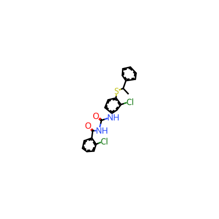 CC(Sc1ccc(NC(=O)NC(=O)c2ccccc2Cl)cc1Cl)c1ccccc1